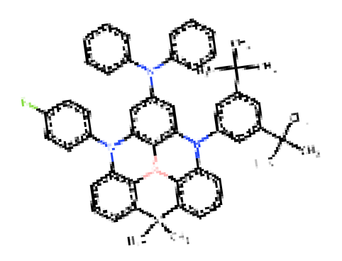 CC(C)(C)c1cc(N2c3cc(N(c4ccccc4)c4ccccc4)cc4c3B3c5c(cccc5[Si](C)(C)c5cccc2c53)N4c2ccc(F)cc2)cc(C(C)(C)C)c1